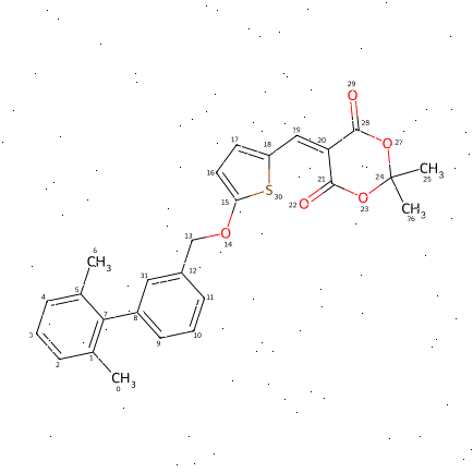 Cc1cccc(C)c1-c1cccc(COc2ccc(C=C3C(=O)OC(C)(C)OC3=O)s2)c1